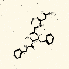 CC(C)C[C@H](NC(=O)[CH]C(N)=O)C(=O)N[C@@H](Cc1ccccc1)[C@H](O)C(=O)NCc1ccccc1